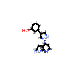 Oc1cccc(-c2cnn(-c3ccnc4[nH]ccc34)c2)c1